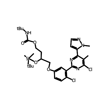 Cc1c(Cl)nc(-c2cc(OCC(CCOC(=O)NC(C)(C)C)O[Si](C)(C)C(C)(C)C)ccc2Cl)nc1-c1ccnn1C